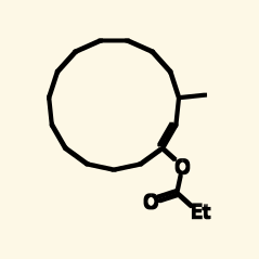 CCC(=O)OC1=CC(C)CCCCCCCCCCCC1